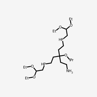 CCOC(CPCCC(CCN)(CCPCC(OCC)OCC)OC(C)C)OCC